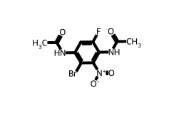 CC(=O)Nc1cc(F)c(NC(C)=O)c([N+](=O)[O-])c1Br